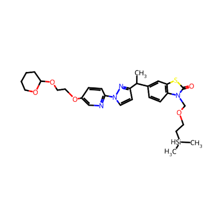 CC(c1ccc2c(c1)sc(=O)n2COCC[SiH](C)C)c1ccn(-c2ccc(OCCOC3CCCCO3)cn2)n1